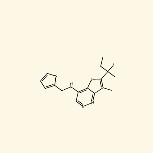 CCC(C)(F)c1sc2c(NCc3cccs3)cnnc2c1C